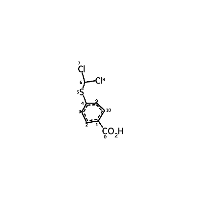 O=C(O)c1ccc(SC(Cl)Cl)cc1